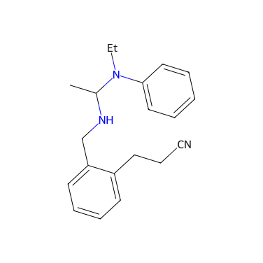 CCN(c1ccccc1)C(C)NCc1ccccc1CCC#N